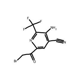 N#Cc1cc(C(=O)CBr)nc(C(F)(F)F)c1N